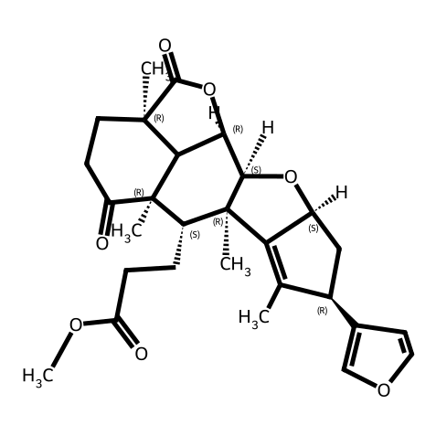 COC(=O)CC[C@H]1[C@]2(C)C3=C(C)[C@H](c4ccoc4)C[C@@H]3O[C@@H]2[C@@H]2OC(=O)[C@]3(C)CCC(=O)[C@@]1(C)C23